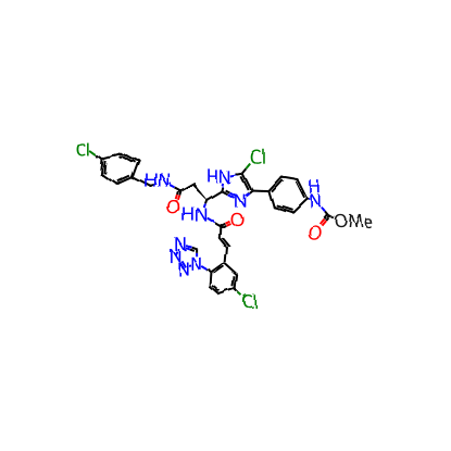 COC(=O)Nc1ccc(-c2nc([C@H](CC(=O)NCc3ccc(Cl)cc3)NC(=O)C=Cc3cc(Cl)ccc3-n3cnnn3)[nH]c2Cl)cc1